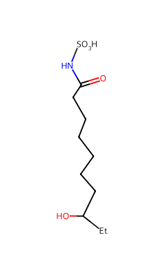 CCC(O)CCCCCCC(=O)NS(=O)(=O)O